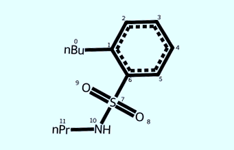 [CH2]CCCc1ccccc1S(=O)(=O)NCCC